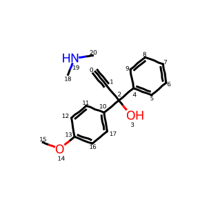 C#CC(O)(c1ccccc1)c1ccc(OC)cc1.CNC